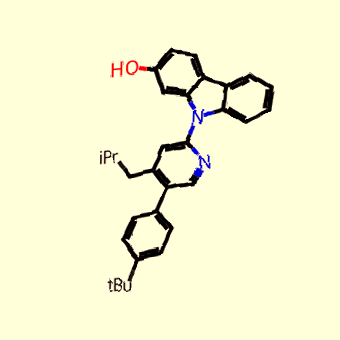 CC(C)Cc1cc(-n2c3ccccc3c3ccc(O)cc32)ncc1-c1ccc(C(C)(C)C)cc1